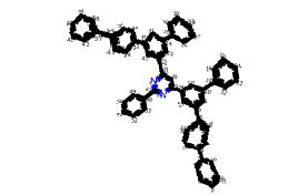 c1ccc(-c2ccc(-c3cc(-c4ccccc4)cc(-c4cc(-c5cc(-c6ccccc6)cc(-c6ccc(-c7ccccc7)cc6)c5)nc(-c5ccccc5)n4)c3)cc2)cc1